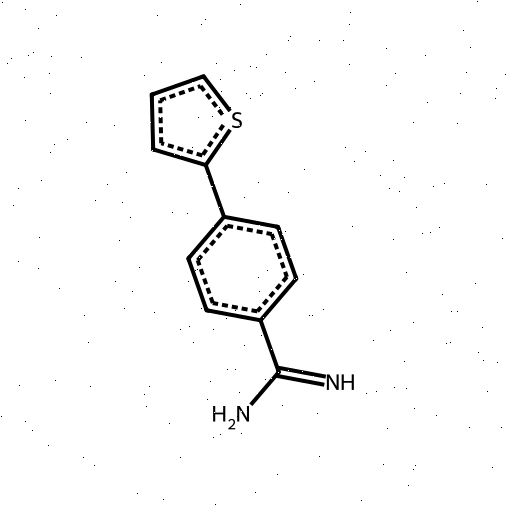 N=C(N)c1ccc(-c2cccs2)cc1